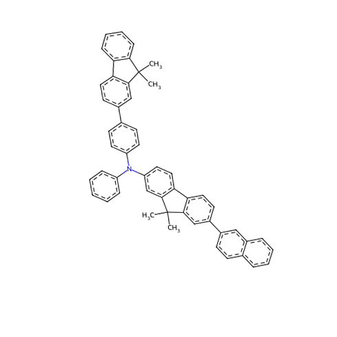 CC1(C)c2ccccc2-c2ccc(-c3ccc(N(c4ccccc4)c4ccc5c(c4)C(C)(C)c4cc(-c6ccc7ccccc7c6)ccc4-5)cc3)cc21